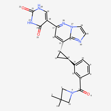 CC1(C)CN(C(=O)c2cccc([C@H]3C[C@@H]3c3cc(-c4c[nH]c(=O)[nH]c4=O)nn4ccnc34)c2)C1